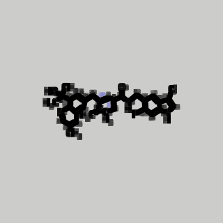 C=N/C(=C\C(=C/C)C(=O)NCc1cc2c(Cl)c[nH]c2cc1F)Cc1cc(C(C)(C)O)c2ncc(C)cc2c1